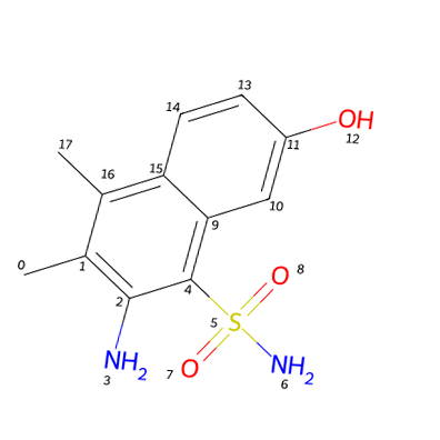 Cc1c(N)c(S(N)(=O)=O)c2cc(O)ccc2c1C